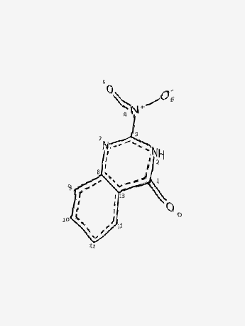 O=c1[nH]c([N+](=O)[O-])nc2ccccc12